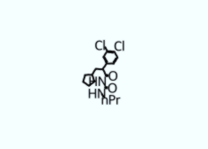 CCCNC(=O)NC(=O)C(CC1CCCC1)c1ccc(Cl)c(Cl)c1